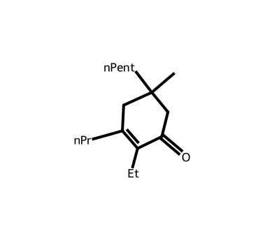 CCCCCC1(C)CC(=O)C(CC)=C(CCC)C1